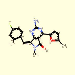 Cc1ccc(-c2nc(N)nc3c2C(=O)N(C)/C3=C/c2ccc(F)cc2C(F)(F)F)o1